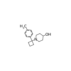 Cc1ccc(C2(N3CCC(O)CC3)CCC2)cc1